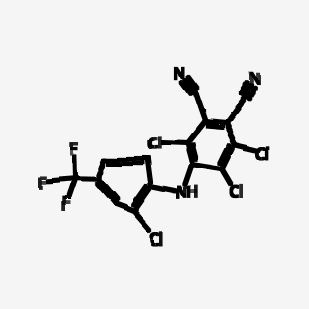 N#Cc1c(Cl)c(Cl)c(Nc2ccc(C(F)(F)F)cc2Cl)c(Cl)c1C#N